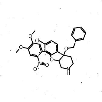 COc1cc(COC2CNCCC2(OCc2ccccc2)c2ccc(Cl)cc2)c([N+](=O)[O-])cc1OC